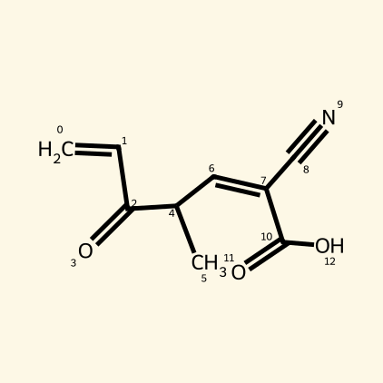 C=CC(=O)C(C)C=C(C#N)C(=O)O